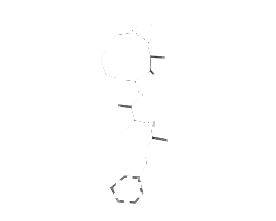 CC(C)C(NC(=O)OCc1ccccc1)C(=O)NC1CCCCCN(C)NC(=O)C1=O